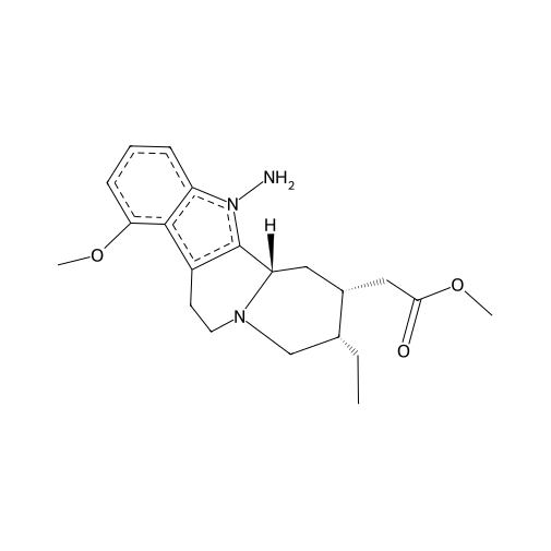 CC[C@@H]1CN2CCc3c(n(N)c4cccc(OC)c34)[C@@H]2C[C@@H]1CC(=O)OC